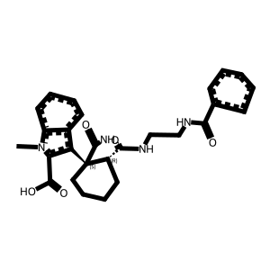 Cn1c(C(=O)O)c([C@]2(C(N)=O)CCCC[C@H]2C(=O)NCCNC(=O)c2ccccc2)c2ccccc21